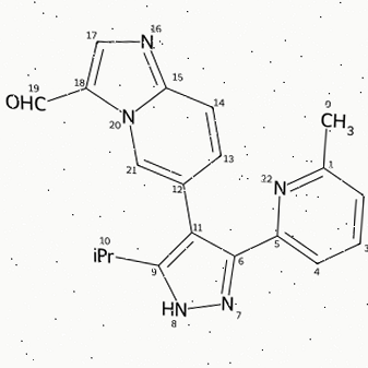 Cc1cccc(-c2n[nH]c(C(C)C)c2-c2ccc3ncc(C=O)n3c2)n1